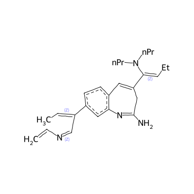 C=C/N=C\C(=C/C)c1ccc2c(c1)N=C(N)CC(/C(=C/CC)N(CCC)CCC)=C2